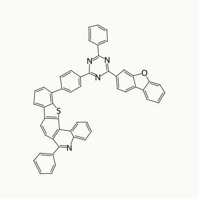 c1ccc(-c2nc(-c3ccc(-c4cccc5c4sc4c5ccc5c(-c6ccccc6)nc6ccccc6c54)cc3)nc(-c3ccc4c(c3)oc3ccccc34)n2)cc1